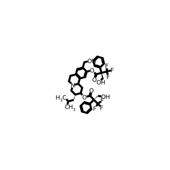 CC(C)C[C@@H]1CN2CCc3cc(CO)c(OC(=O)[C@](CO)(c4ccccc4)C(F)(F)F)cc3C2CC1OC(=O)[C@](CO)(c1ccccc1)C(F)(F)F